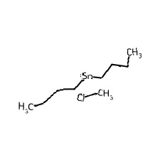 CCC[CH2][Sn][CH2]CCC.CCl